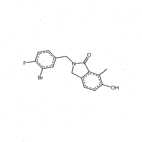 Cc1c(O)ccc2c1C(=O)N(Cc1ccc(F)c(Br)c1)C2